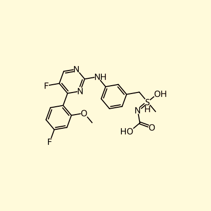 COc1cc(F)ccc1-c1nc(Nc2cccc(C[SH](C)(O)=NC(=O)O)c2)ncc1F